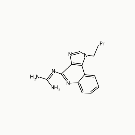 CC(C)Cn1cnc2c(N=C(N)N)nc3ccccc3c21